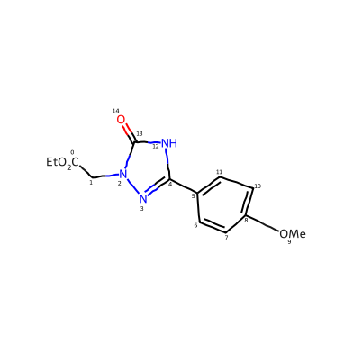 CCOC(=O)Cn1nc(-c2ccc(OC)cc2)[nH]c1=O